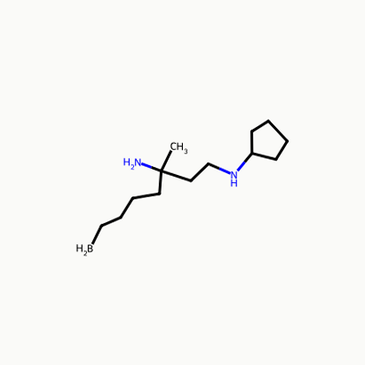 BCCCCC(C)(N)CCNC1CCCC1